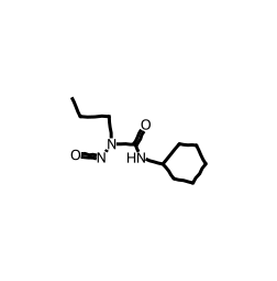 CCCN(N=O)C(=O)NC1CCCCC1